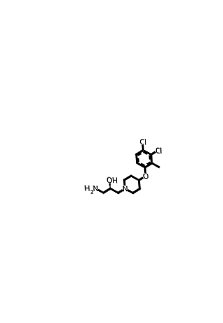 Cc1c(OC2CCN(C[C@H](O)CN)CC2)ccc(Cl)c1Cl